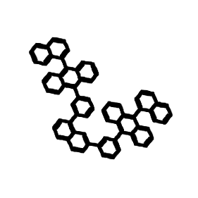 c1cc(-c2ccc3cccc(-c4cccc(-c5c6ccccc6c(-c6cccc7ccccc67)c6ccccc56)c4)c3c2)cc(-c2c3ccccc3c(-c3cccc4ccccc34)c3ccccc23)c1